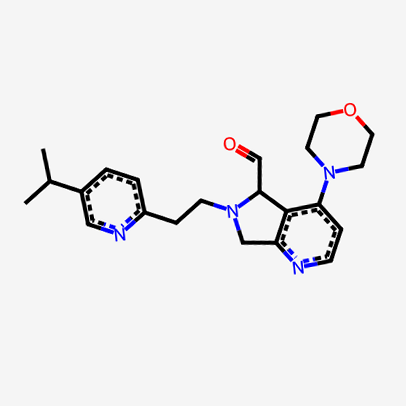 CC(C)c1ccc(CCN2Cc3nccc(N4CCOCC4)c3C2C=O)nc1